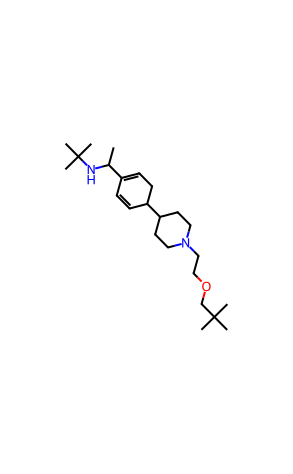 CC(NC(C)(C)C)C1=CCC(C2CCN(CCOCC(C)(C)C)CC2)C=C1